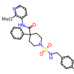 COc1ncccc1NC(=O)C1(c2ccccc2)CCN(S(=O)(=O)NCc2ccc(F)cc2)CC1